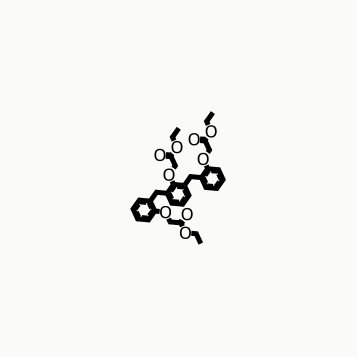 CCOC(=O)COc1ccccc1Cc1cccc(Cc2ccccc2OCC(=O)OCC)c1OCC(=O)OCC